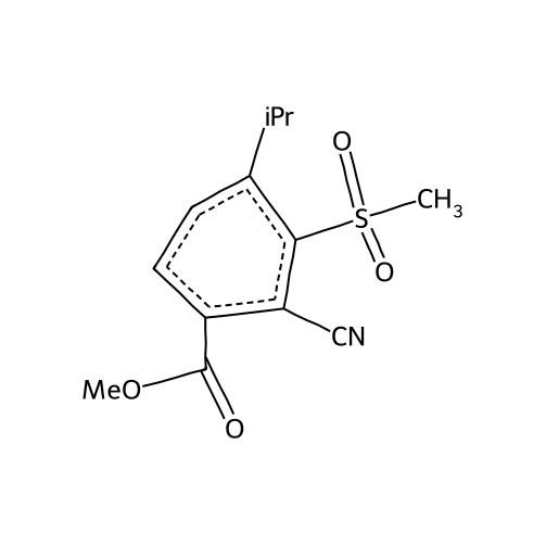 COC(=O)c1ccc(C(C)C)c(S(C)(=O)=O)c1C#N